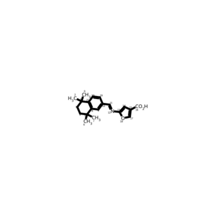 CC1(C)CCC(C)(C)c2cc(C=Nc3cc(C(=O)O)co3)ccc21